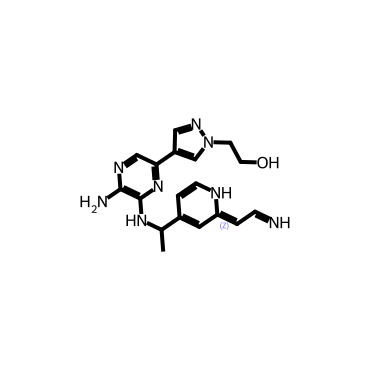 CC(Nc1nc(-c2cnn(CCO)c2)cnc1N)C1=C/C(=C/C=N)NC=C1